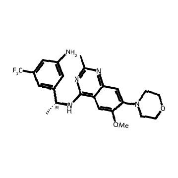 COc1cc2c(N[C@H](C)c3cc(N)cc(C(F)(F)F)c3)nc(C)nc2cc1N1CCOCC1